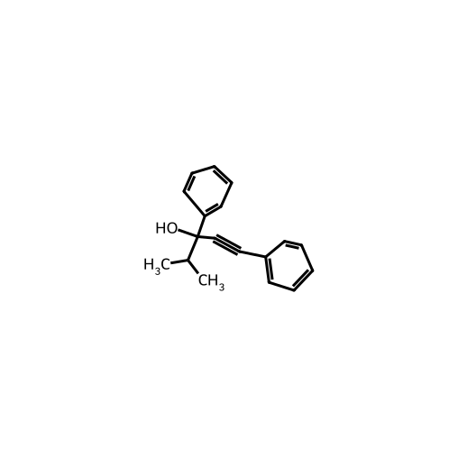 CC(C)C(O)(C#Cc1ccccc1)c1ccccc1